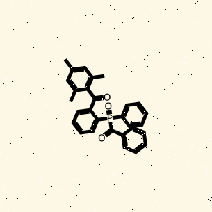 Cc1cc(C)c(C(=O)c2ccccc2P(=O)(C(=O)c2ccccc2)c2ccccc2)c(C)c1